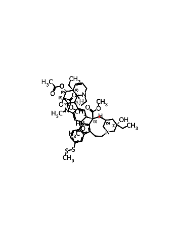 CC[C@]1(O)C[C@H]2CN(CCc3c([nH]c4ccc(SSC)cc34)[C@@](C(=O)OC)(C3C=C4C(=CC3OC)N(C)[C@@]35O[C@]3(C(=O)OC)[C@H](OC(C)=O)[C@]3(CC)C=CCN6CC[C@]45[C@@H]63)C2)C1